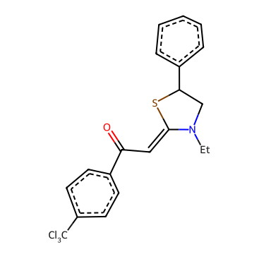 CCN1CC(c2ccccc2)SC1=CC(=O)c1ccc(C(Cl)(Cl)Cl)cc1